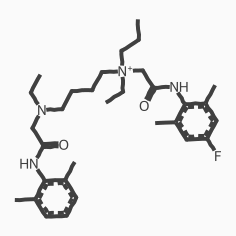 CCC[N+](CC)(CCCCN(CC)CC(=O)Nc1c(C)cccc1C)CC(=O)Nc1c(C)cc(F)cc1C